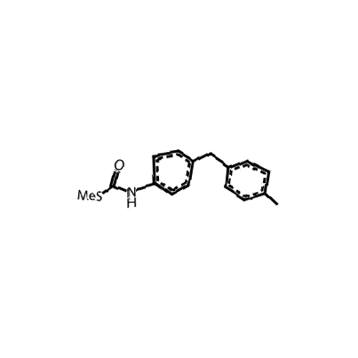 CSC(=O)Nc1ccc(Cc2ccc(C)cc2)cc1